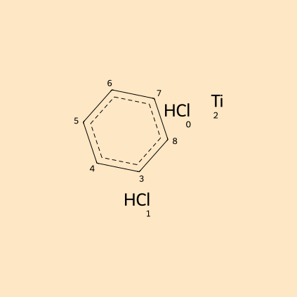 Cl.Cl.[Ti].c1ccccc1